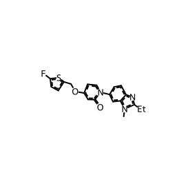 CCc1nc2ccc(-n3ccc(OCc4ccc(F)s4)cc3=O)cc2n1C